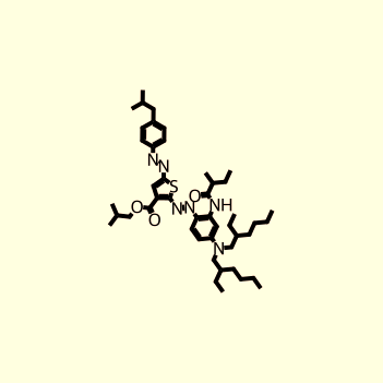 CCCCC(CC)CN(CC(CC)CCCC)c1ccc(N=Nc2sc(N=Nc3ccc(CC(C)C)cc3)cc2C(=O)OCC(C)C)c(NC(=O)C(C)CC)c1